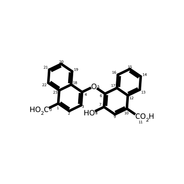 O=C(O)c1ccc(Oc2c(O)cc(C(=O)O)c3ccccc23)c2ccccc12